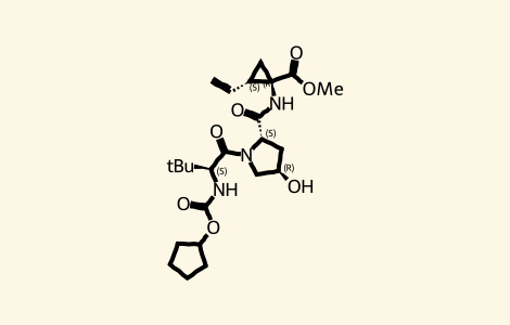 C=C[C@@H]1C[C@]1(NC(=O)[C@@H]1C[C@@H](O)CN1C(=O)[C@@H](NC(=O)OC1CCCC1)C(C)(C)C)C(=O)OC